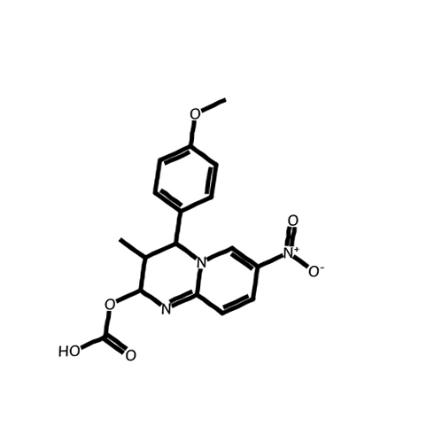 COc1ccc(C2C(C)C(OC(=O)O)N=C3C=CC([N+](=O)[O-])=CN32)cc1